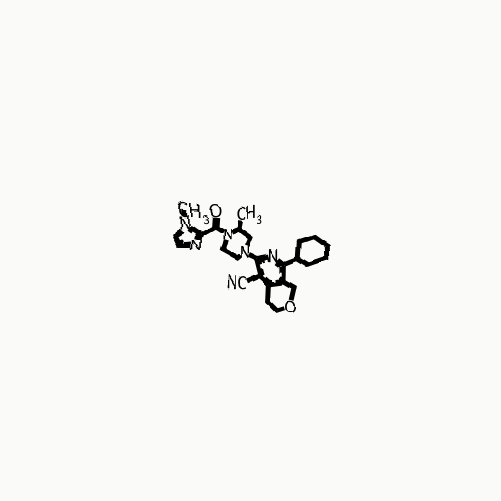 CC1CN(c2nc(C3CCCCC3)c3c(c2C#N)CCOC3)CCN1C(=O)c1nccn1C